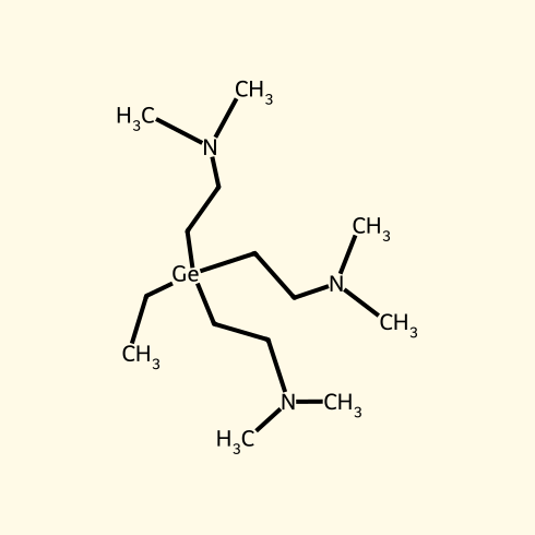 C[CH2][Ge]([CH2]CN(C)C)([CH2]CN(C)C)[CH2]CN(C)C